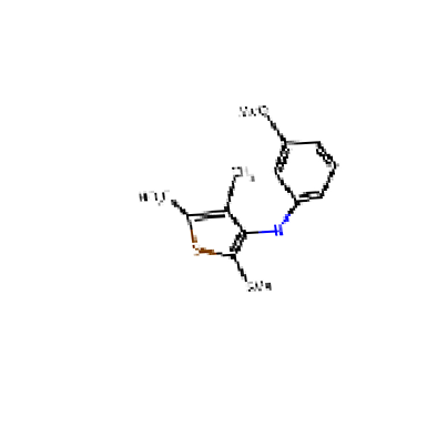 COc1cccc(Nc2c(SC)sc(C(=O)O)c2C)c1